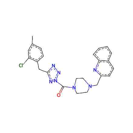 Cc1ccc(Cc2nnn(C(=O)N3CCN(Cc4ccc5ccccc5n4)CC3)n2)c(Cl)c1